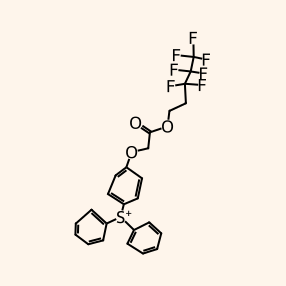 O=C(COc1ccc([S+](c2ccccc2)c2ccccc2)cc1)OCCC(F)(F)C(F)(F)C(F)(F)F